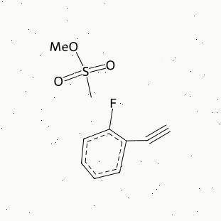 C#Cc1ccccc1F.COS(C)(=O)=O